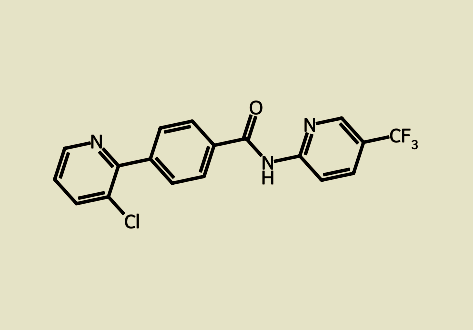 O=C(Nc1ccc(C(F)(F)F)cn1)c1ccc(-c2ncccc2Cl)cc1